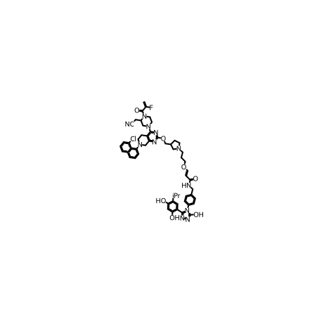 C=C(F)C(=O)N1CCN(c2nc(OCC3CCN(CCCOC=CC(=O)NCc4ccc(-n5c(O)nnc5-c5cc(C(C)C)c(O)cc5O)cc4)C3)nc3c2CCN(c2cccc4cccc(Cl)c24)C3)CC1CC#N